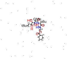 CCCC[C@H](NC(=O)[C@H](OC)[C@H](O)[C@@H](O)[C@H](O)/C=C/C(C)(C)C)C(=O)NCCOC(=O)C1CCCCC1